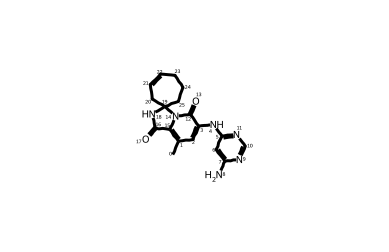 Cc1cc(Nc2cc(N)ncn2)c(=O)n2c1C(=O)NC21CC=CCCC1